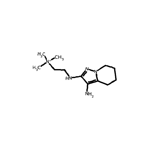 C[N+](C)(C)CCNc1nn2c(c1N)CCCC2